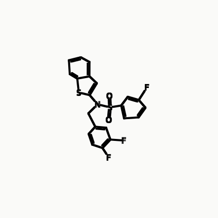 O=S(=O)(c1cccc(F)c1)N(Cc1ccc(F)c(F)c1)c1cc2ccccc2s1